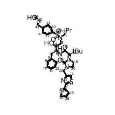 CC(C)CN(C[C@H](O)[C@H](Cc1ccccc1)NC(=O)[C@@H](N1CCN(Cc2csc(-c3cccs3)n2)C1=O)C(C)(C)C)S(=O)(=O)c1ccc(C=NO)cc1